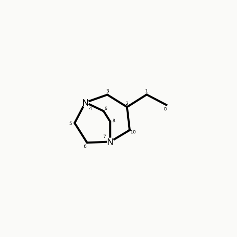 CCC1CN2CCN(CC2)C1